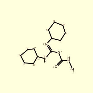 [2H]NC(=O)O/C(=N\C1CCCCC1)NC1CCCCC1